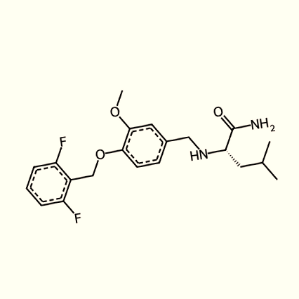 COc1cc(CN[C@@H](CC(C)C)C(N)=O)ccc1OCc1c(F)cccc1F